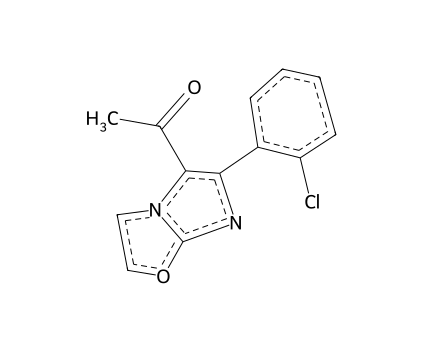 CC(=O)c1c(-c2ccccc2Cl)nc2occn12